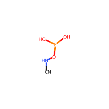 N#CNOP(O)O